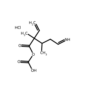 C=CC(C)(C(=O)OC(=O)O)C(C)CC=N.Cl